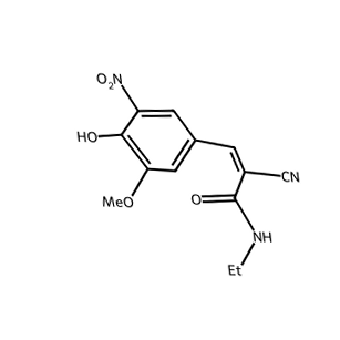 CCNC(=O)C(C#N)=Cc1cc(OC)c(O)c([N+](=O)[O-])c1